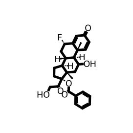 C[C@]12C=CC(=O)C=C1[C@@H](F)C[C@@H]1[C@@H]2C(O)C[C@@]2(C)[C@H]1CC[C@]2(OC(=O)c1ccccc1)C(=O)CO